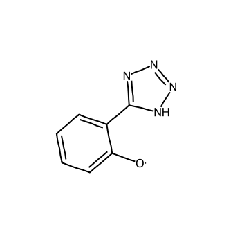 [O]c1ccccc1-c1nnn[nH]1